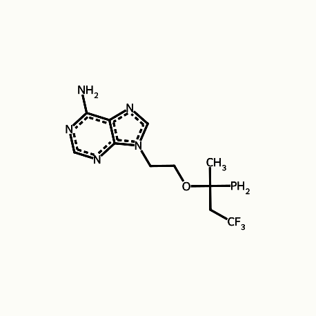 CC(P)(CC(F)(F)F)OCCn1cnc2c(N)ncnc21